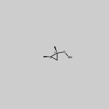 C[C@@H]1C[C@@]1(C)O[NH]